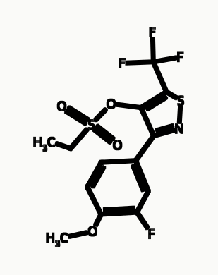 CCS(=O)(=O)Oc1c(-c2ccc(OC)c(F)c2)nsc1C(F)(F)F